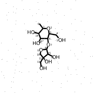 CC1OC(CO)C(OC2OCC(O)(CO)C2O)C(O)C1O